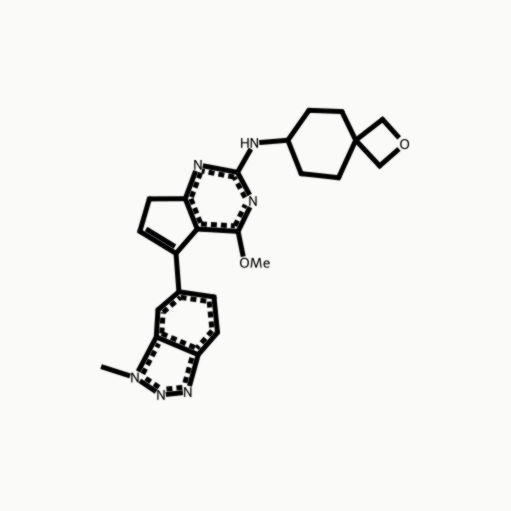 COc1nc(NC2CCC3(CC2)COC3)nc2c1C(c1ccc3nnn(C)c3c1)=CC2